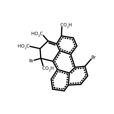 O=C(O)C1=c2c(C(=O)O)ccc3c2c(c2cccc4ccc(Br)c3c42)C(Br)(C(=O)O)C1C(=O)O